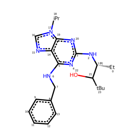 CC[C@@H](Nc1nc(NCc2ccccc2)c2ncn(C(C)C)c2n1)C(O)C(C)(C)C